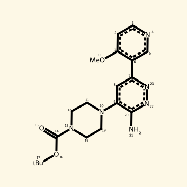 COc1ccncc1-c1cc(N2CCN(C(=O)OC(C)(C)C)CC2)c(N)nn1